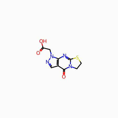 O=C(O)Cn1ncc2c(=O)n3c(nc21)SCC3